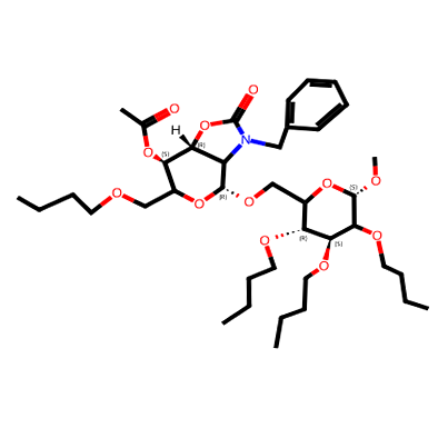 CCCCOCC1O[C@@H](OCC2O[C@H](OC)C(OCCCC)[C@@H](OCCCC)[C@@H]2OCCCC)C2[C@@H](OC(=O)N2Cc2ccccc2)[C@@H]1OC(C)=O